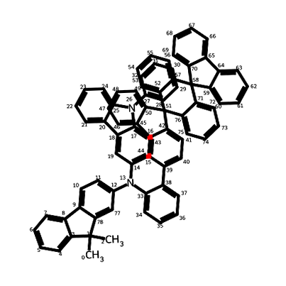 CC1(C)c2ccccc2-c2ccc(N(c3ccc4c(c3)c3ccccc3n4-c3ccccc3)c3ccccc3-c3ccc4c(c3)-c3ccccc3C43c4ccccc4C4(c5ccccc5-c5ccccc54)c4ccccc43)cc21